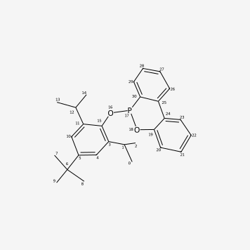 CC(C)c1cc(C(C)(C)C)cc(C(C)C)c1OP1Oc2ccccc2-c2ccccc21